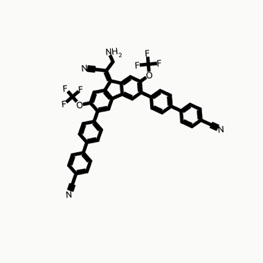 N#CC(CN)=C1c2cc(OC(F)(F)F)c(-c3ccc(-c4ccc(C#N)cc4)cc3)cc2-c2cc(-c3ccc(-c4ccc(C#N)cc4)cc3)c(OC(F)(F)F)cc21